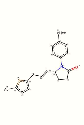 CCCCCCc1ccc(N2C(=O)CC[C@@H]2C=CCc2ccc(C(C)=O)s2)cc1